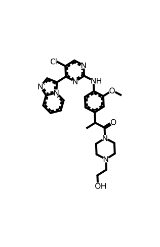 COc1cc(C(C)C(=O)N2CCN(CCO)CC2)ccc1Nc1ncc(Cl)c(-c2cnc3ccccn23)n1